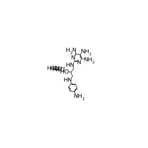 Cl.Cl.Cl.Cl.Nc1ccc(NCC(O)CNc2nc(N)c(N)c(N)n2)cc1